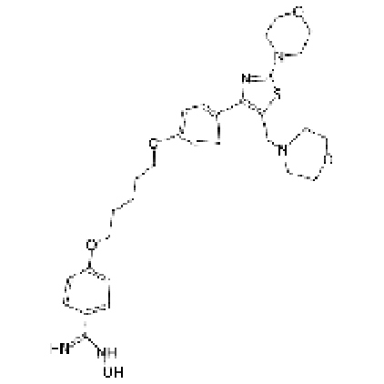 N=C(NO)c1ccc(OCCCCCOc2ccc(-c3nc(N4CCOCC4)sc3CN3CCOCC3)cc2)cc1